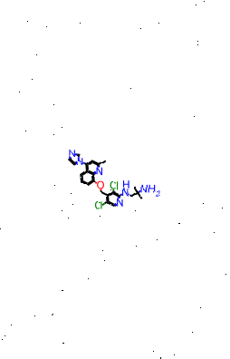 Cc1cc(-n2ccnc2)c2cccc(OCc3c(Cl)cnc(NCC(C)(C)N)c3Cl)c2n1